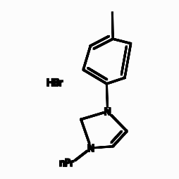 Br.CCCN1C=CN(c2ccc(C)cc2)C1